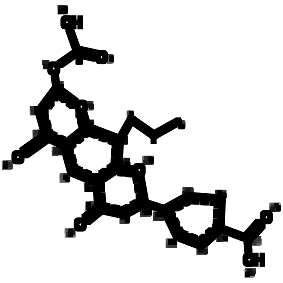 CCCc1c2oc(OC(=O)O)cc(=O)c2cc2c(=O)cc(-c3ccc(C(=O)O)cc3)oc12